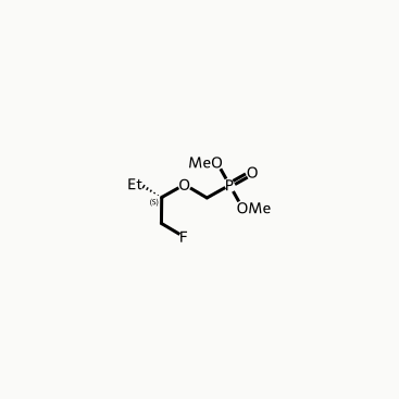 CC[C@@H](CF)OCP(=O)(OC)OC